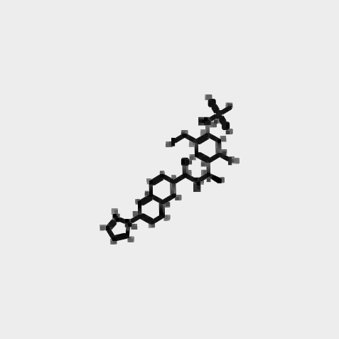 C[C@@H](NC(=O)c1ccc2cc(-n3cccn3)ccc2c1)c1cc(CI)c(NS(C)(=O)=O)cc1F